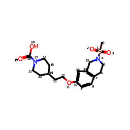 CS(=O)(=O)N1CCc2ccc(OCCC3CCN(C(=O)O)CC3)cc2C1